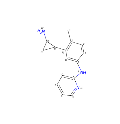 Cc1ccc(Nc2ccccn2)cc1C1CC1N